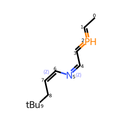 CC=[PH]=C/C=N\C=C/CC(C)(C)C